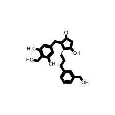 Cc1cc(CC2C(Cl)CC(O)[C@@H]2CCCc2cccc(CO)c2)cc(C)c1CO